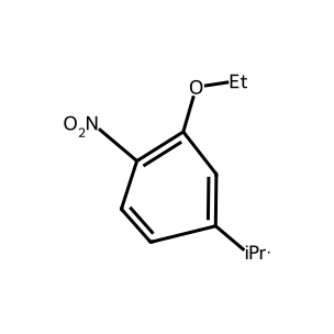 CCOc1cc([C](C)C)ccc1[N+](=O)[O-]